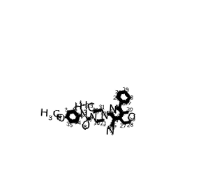 COc1ccc(NC(=O)N2CCN(c3nc(-c4ccccc4)c4c(c3C#N)CCOC4)C[C@H]2C)cc1